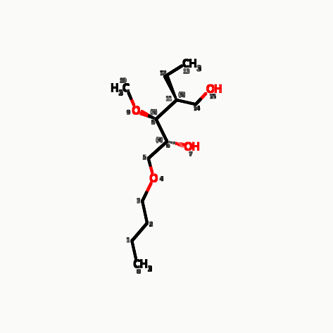 CCCCOC[C@@H](O)[C@@H](OC)[C@@H](CC)CO